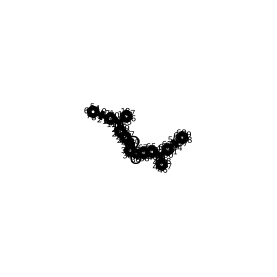 CC(C)(c1ccccc1)c1ccc(N(c2ccccc2)c2ccc3cc4c(cc3c2)oc2c4ccc3oc4cc5cc(N(c6ccccc6)c6ccc(C(C)(C)c7ccccc7)cc6)ccc5cc4c32)cc1